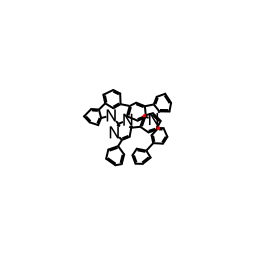 c1ccc(-c2cccc(-n3c4ccccc4c4cc(-c5cccc6c7ccccc7n(-c7nc(-c8ccccc8)cc(-c8ccccc8)n7)c56)ccc43)c2)cc1